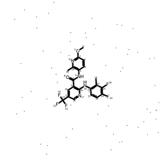 COc1ccc(NC(=O)c2cc(C(F)(F)F)cnc2Nc2ccc(F)c(F)c2C)c(C)n1